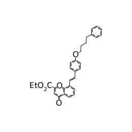 CCOC(=O)c1cc(=O)c2cccc(C=Cc3ccc(OCCCCc4ccccc4)cc3)c2o1